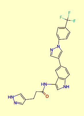 O=C(CCc1cn[nH]c1)Nc1c[nH]c2ccc(-c3cnn(-c4ccc(C(F)(F)F)cc4)c3)cc12